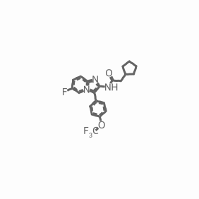 O=C(CC1CCCC1)Nc1nc2ccc(F)cn2c1-c1ccc(OC(F)(F)F)cc1